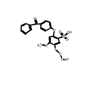 COc1cc(Oc2ccc(C(=O)c3ccccc3)cc2)c(S(=O)(=O)O)cc1SOOO